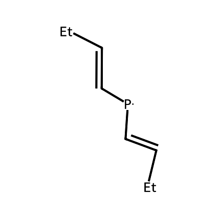 CC/C=C/[P]/C=C/CC